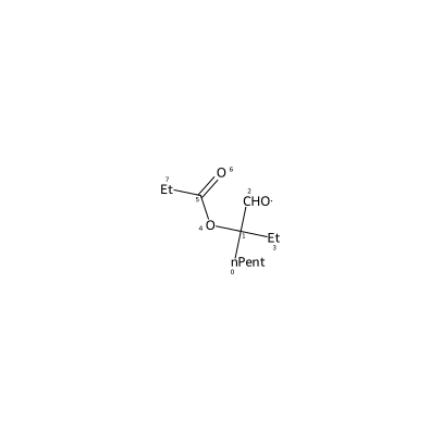 CCCCCC([C]=O)(CC)OC(=O)CC